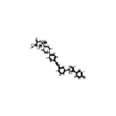 COC(=O)C(C)NS(=O)(=O)N1CCN(c2ccc(C#Cc3cccc(-c4ncc(-c5ccc(F)cc5)o4)c3)cc2)CC1